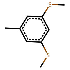 CSc1cc(C)cc(SC)c1